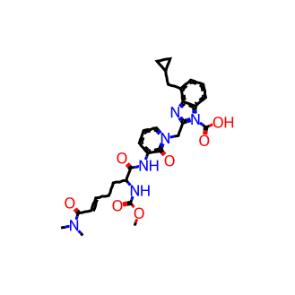 COC(=O)NC(CCC=CC(=O)N(C)C)C(=O)Nc1cccn(Cc2nc3c(CC4CC4)cccc3n2C(=O)O)c1=O